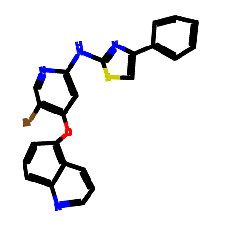 Brc1cnc(Nc2nc(-c3ccccc3)cs2)cc1Oc1cccc2ncccc12